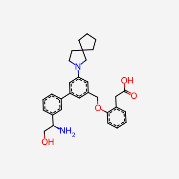 N[C@@H](CO)c1cccc(-c2cc(COc3ccccc3CC(=O)O)cc(N3CCC4(CCCC4)C3)c2)c1